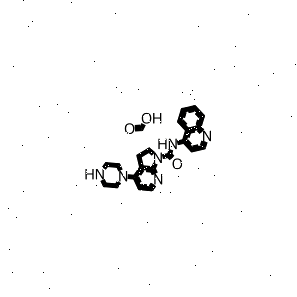 O=C(Nc1ccnc2ccccc12)N1CCc2c(N3CCNCC3)ccnc21.O=CO